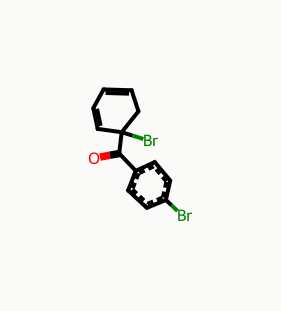 O=C(c1ccc(Br)cc1)C1(Br)C=CC=CC1